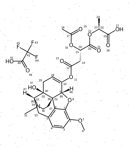 COc1ccc2c3c1O[C@H]1C(OC(=O)C[C@H](OC(C)=O)C(=O)O[C@@H](C)C(=O)O)=CC[C@@]4(O)[C@@H](C2)N(C)CC[C@]314.O=C(O)C(F)(F)F